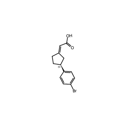 O=C(O)C=C1CC[C@H](c2ccc(Br)cc2)C1